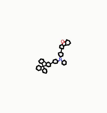 c1ccc(N(c2ccc(-c3ccc4c(c3)-c3ccccc3C4(c3ccccc3)c3ccccc3)cc2)c2ccc(-c3ccc4oc5ccccc5c4c3)cc2)cc1